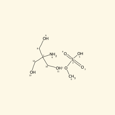 COS(=O)(=O)O.NC(CO)(CO)CO